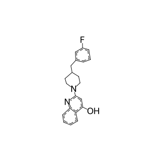 Oc1cc(N2CCC(Cc3cccc(F)c3)CC2)nc2ccccc12